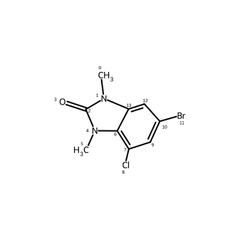 Cn1c(=O)n(C)c2c(Cl)cc(Br)cc21